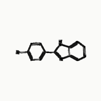 Brc1ccc(C2=Nc3ccccc3[SH]2)cc1